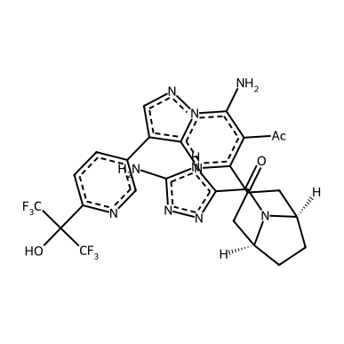 CC(=O)c1c(C2C[C@H]3CC[C@@H](C2)N3C(=O)c2nnc(N)[nH]2)nc2c(-c3ccc(C(O)(C(F)(F)F)C(F)(F)F)nc3)cnn2c1N